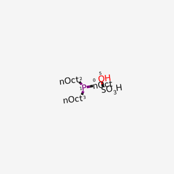 CCCCCCCCP(CCCCCCCC)CCCCCCCC.O=S(=O)(O)O